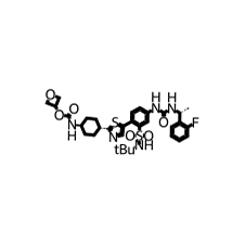 C[C@@H](NC(=O)Nc1ccc(-c2cnc([C@H]3CC[C@H](NC(=O)OC4COC4)CC3)s2)c(S(=O)(=O)NC(C)(C)C)c1)c1ccccc1F